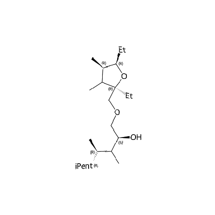 CCC[C@@H](C)[C@@H](C)C(C)[C@H](O)COC[C@]1(CC)O[C@H](CC)[C@H](C)C1C